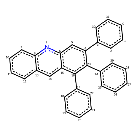 c1ccc(-c2cc3nc4ccccc4cc3c(-c3ccccc3)c2-c2ccccc2)cc1